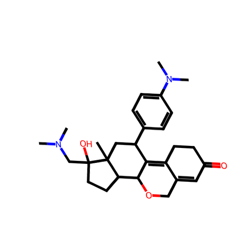 CN(C)CC1(O)CCC2C3OCC4=CC(=O)CCC4=C3C(c3ccc(N(C)C)cc3)CC21C